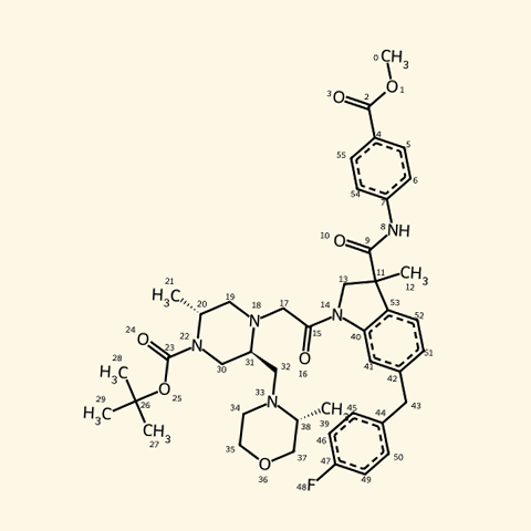 COC(=O)c1ccc(NC(=O)C2(C)CN(C(=O)CN3C[C@@H](C)N(C(=O)OC(C)(C)C)C[C@@H]3CN3CCOC[C@H]3C)c3cc(Cc4ccc(F)cc4)ccc32)cc1